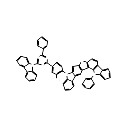 N#Cc1cc(-c2nc(-c3ccccc3)nc(-n3c4ccccc4c4ccccc43)n2)ccc1-n1c2ccccc2c2cc3c(cc21)oc1ccc2c4ccccc4n(-c4ccccc4)c2c13